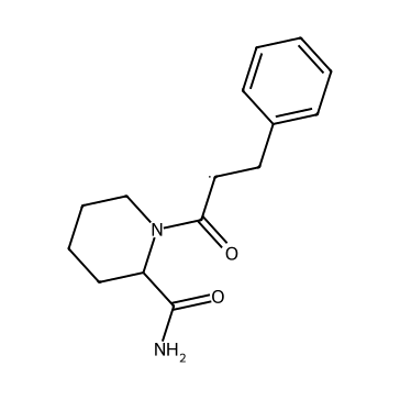 NC(=O)C1CCCCN1C(=O)[CH]Cc1ccccc1